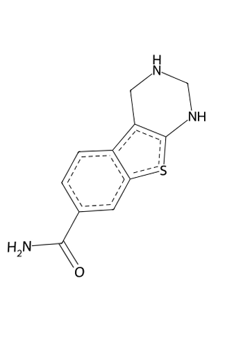 NC(=O)c1ccc2c3c(sc2c1)NCNC3